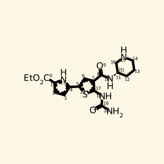 CCOC(=O)c1ccc(-c2cc(C(=O)N[C@H]3CCCNC3)c(NC(N)=O)s2)[nH]1